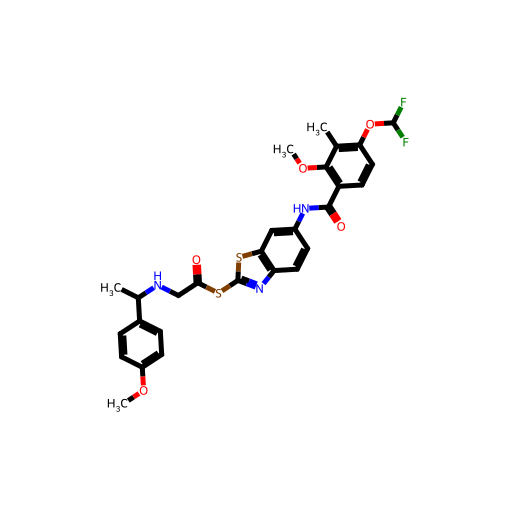 COc1ccc(C(C)NCC(=O)Sc2nc3ccc(NC(=O)c4ccc(OC(F)F)c(C)c4OC)cc3s2)cc1